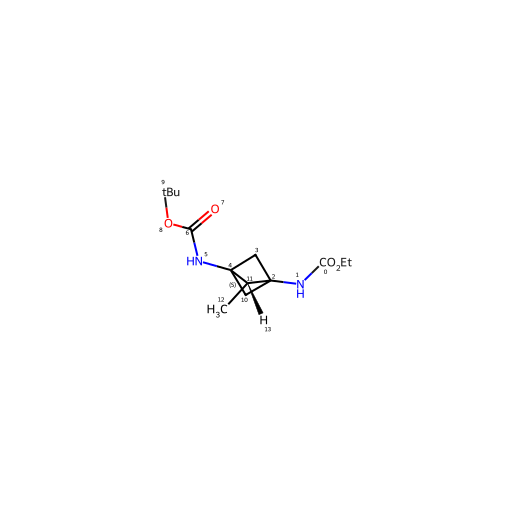 CCOC(=O)NC12CC(NC(=O)OC(C)(C)C)(C1)[C@H]2C